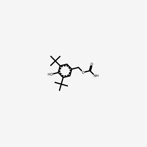 CC(C)(C)c1cc(COC([NH])=O)cc(C(C)(C)C)c1O